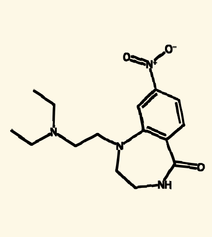 CCN(CC)CCN1CCNC(=O)c2ccc([N+](=O)[O-])cc21